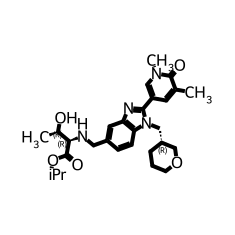 Cc1cc(-c2nc3cc(CN[C@@H](C(=O)OC(C)C)[C@@H](C)O)ccc3n2C[C@H]2CCCOC2)cn(C)c1=O